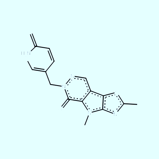 C=C(N)/C=C\C(=C/C)Cn1ncc2c3sc(C)nc3n(C)c2c1=O